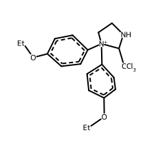 CCOc1ccc([N+]2(c3ccc(OCC)cc3)CCNC2C(Cl)(Cl)Cl)cc1